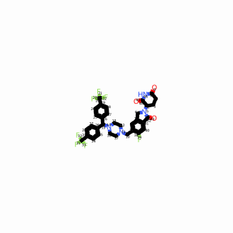 O=C1CCC(N2Cc3cc(CN4CCN(C(c5ccc(C(F)(F)F)cc5)c5ccc(C(F)(F)F)cc5)CC4)c(F)cc3C2=O)C(=O)N1